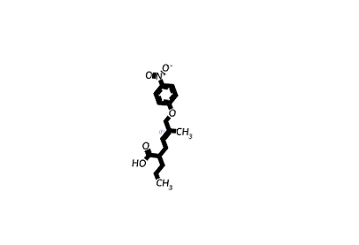 CCCC(C/C=C(\C)COc1ccc([N+](=O)[O-])cc1)C(=O)O